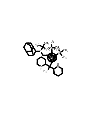 CC(C)(C)P(C[C]12[C]3(C(P)(C4CCCCN4)C4CCCCN4)[CH]4[C]5([Si](C)(C)C)[C]1([Si](C)(C)C)[Fe]42351678[CH]2[CH]1[CH]6[CH]7[CH]28)C1C2CC3CC(C2)CC1C3